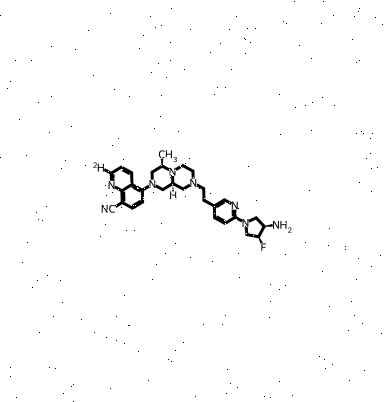 [2H]c1ccc2c(N3C[C@@H]4CN(CCc5ccc(N6C[C@@H](N)[C@@H](F)C6)nc5)CCN4[C@H](C)C3)ccc(C#N)c2n1